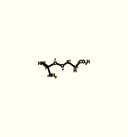 N=C(N)OOSNC(=O)O